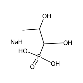 CC(O)C(O)P(=O)(O)O.[NaH]